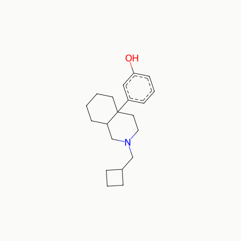 Oc1cccc(C23CCCCC2CN(CC2CCC2)CC3)c1